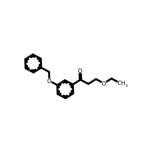 CCOCCC(=O)c1cccc(OCc2ccccc2)c1